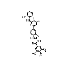 COc1cc(C(=O)Nc2nc3cc(-c4cc(=O)[nH]c(Nc5ccccc5Cl)n4)ccc3[nH]2)cc(OC)c1OC